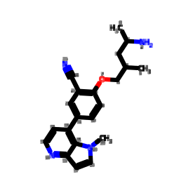 CC(N)CC(C)COc1ccc(-c2ccnc3ccn(C)c23)cc1C#N